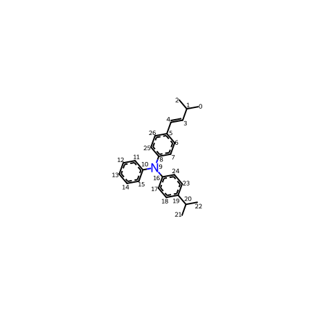 CC(C)/C=C/c1ccc(N(c2ccccc2)c2ccc(C(C)C)cc2)cc1